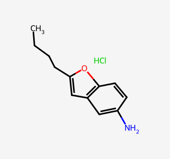 CCCCc1cc2cc(N)ccc2o1.Cl